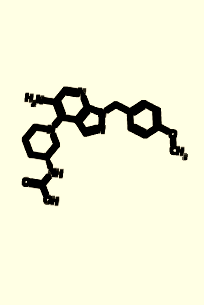 COc1ccc(Cn2ncc3c(N4CCC[C@H](NC(=O)O)C4)c(N)cnc32)cc1